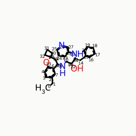 CCc1ccc2c(c1)[C@@H](NC[C@@H](O)[C@H](Cc1ccccc1)Nc1cccnc1)CC1(CCC1)O2